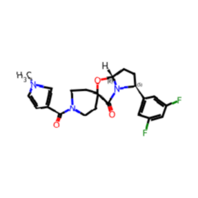 Cn1ccc(C(=O)N2CCC3(CC2)O[C@@H]2CC[C@@H](c4cc(F)cc(F)c4)N2C3=O)c1